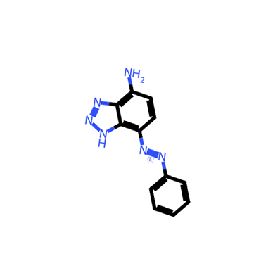 Nc1ccc(/N=N/c2ccccc2)c2[nH]nnc12